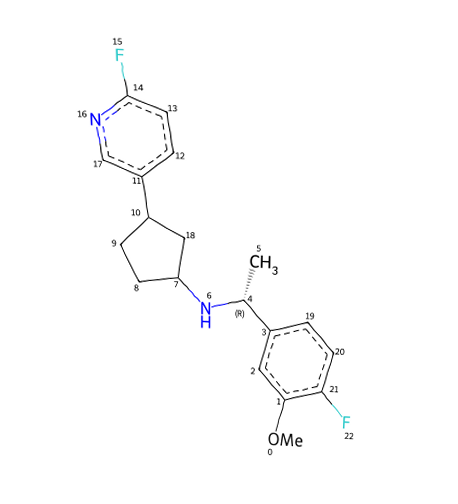 COc1cc([C@@H](C)NC2CCC(c3ccc(F)nc3)C2)ccc1F